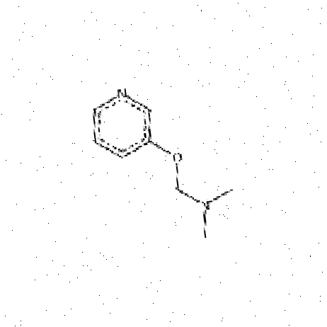 CN(C)COc1cccnc1